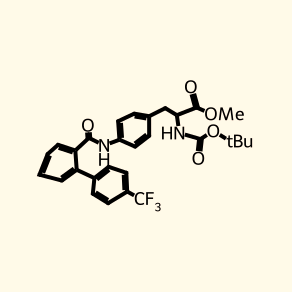 COC(=O)C(Cc1ccc(NC(=O)c2ccccc2-c2ccc(C(F)(F)F)cc2)cc1)NC(=O)OC(C)(C)C